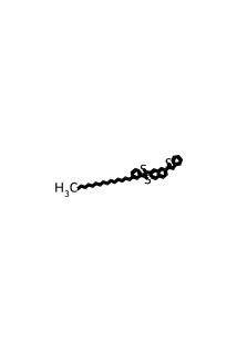 CCCCCCCCCCCCCCCCc1ccc2sc3c4cc5cc(-c6cc7ccccc7s6)ccc5cc4sc3c2c1